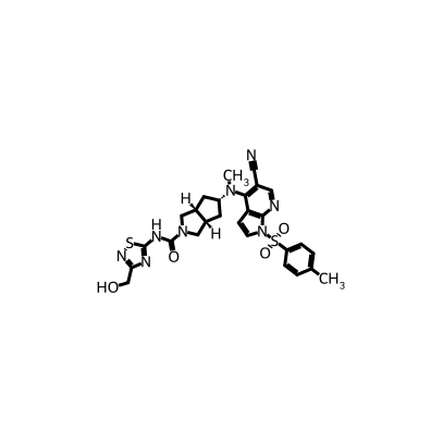 Cc1ccc(S(=O)(=O)n2ccc3c(N(C)[C@@H]4C[C@@H]5CN(C(=O)Nc6nc(CO)ns6)C[C@@H]5C4)c(C#N)cnc32)cc1